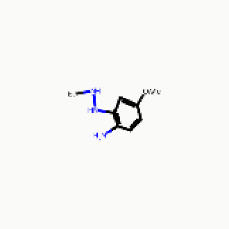 CCNNc1cc(OC)ccc1N